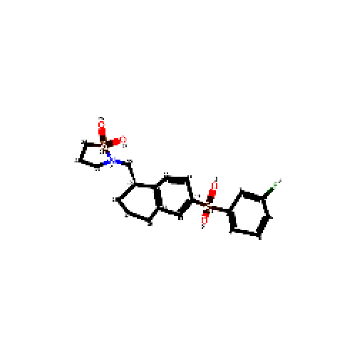 O=S(=O)(c1cccc(F)c1)c1ccc2c(c1)CCC[C@H]2CN1CCCS1(=O)=O